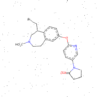 CC(C)CC1CN(C(=O)O)CCc2cc(Oc3ccc(N4CCCC4=O)cn3)ccc21